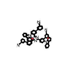 N#Cc1cccc(-c2cccc(-c3nc(-c4ccc(-n5c6ccccc6c6ccccc65)c(-c5cccc(C#N)c5)c4)nc(-c4cc(-c5cccc(C#N)c5)ccc4-n4c5ccccc5c5ccccc54)n3)c2)c1